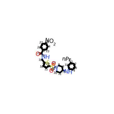 CCCc1cccc(NC2CCN(S(=O)(=O)c3ccc(CNC(=O)c4ccc([N+](=O)[O-])cc4)s3)CC2)c1